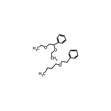 CCCCOCCc1ccccc1.CCOCC(OCC)c1ccccc1